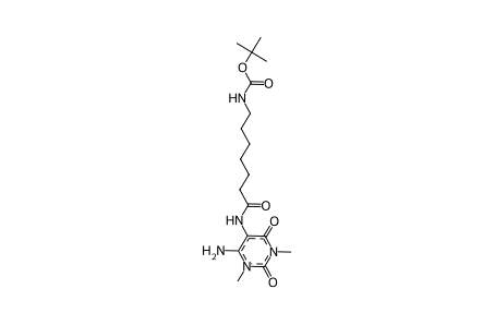 Cn1c(N)c(NC(=O)CCCCCCNC(=O)OC(C)(C)C)c(=O)n(C)c1=O